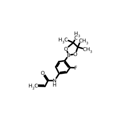 C=CC(=O)Nc1ccc(B2OC(C)(C)C(C)(C)O2)c(F)c1